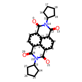 O=C1c2ccc3c4c(ccc(c24)C(=O)N1C1CCCC1)C(=O)N(C1CCCC1)C3=O